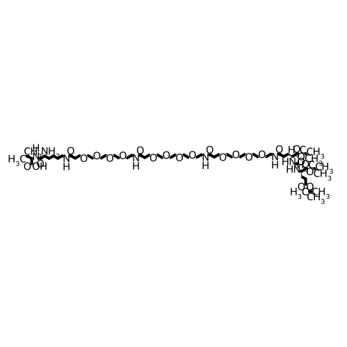 CC(C)[C@H](NC(=O)[C@@H](N)CCCCNC(=O)CCOCCOCCOCCOCCNC(=O)CCOCCOCCOCCOCCNC(=O)CCOCCOCCOCCOCCNC(=O)CC[C@H](NC(=O)N[C@@H](CCC(=O)OC(C)(C)C)C(=O)OC(C)(C)C)C(=O)OC(C)(C)C)C(=O)O